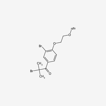 CCCOCCOc1ccc(C(=O)C(C)(C)Br)cc1Br